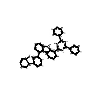 C1=CC2Sc3c(-c4cccc5oc6c(-c7nc(-c8ccccc8)nc(-c8ccccc8)n7)cccc6c45)cccc3C2C=C1